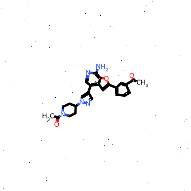 CC(=O)c1cccc(-c2cc3c(-c4cnn(C5CCN(C(C)=O)CC5)c4)cnc(N)c3o2)c1